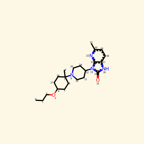 CCCOC1CCC(C)(N2CCC(n3c(=O)[nH]c4ccc(C)nc43)CC2)CC1